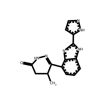 CC1CC(=O)NN=C1c1cccc2[nH]c(-c3ccn[nH]3)nc12